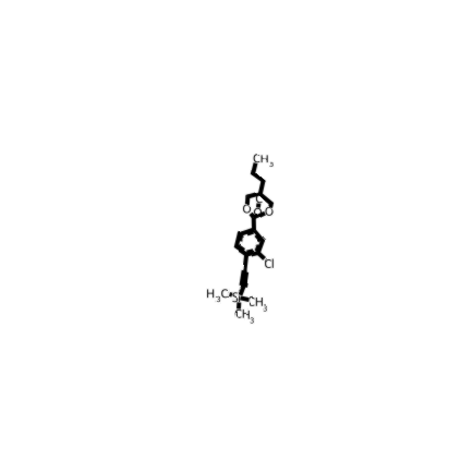 CCCC12COC(c3ccc(C#C[Si](C)(C)C)c(Cl)c3)(OC1)OC2